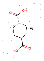 O=C(O)[C@H]1CC[C@H](C(=O)O)CC1.[W]